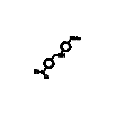 CCN(CC)c1ccc(CNc2ccc(NC)cc2)cc1